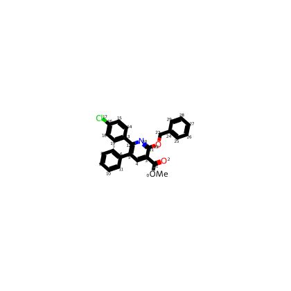 COC(=O)c1cc(-c2ccccc2)c(-c2ccc(Cl)cc2)nc1OCc1ccccc1